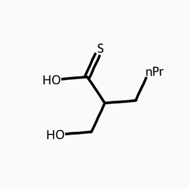 CCCCC(CO)C(O)=S